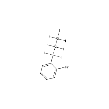 CC(C)c1ccccc1[Si](I)(I)[Si](I)(I)[Si](I)(I)I